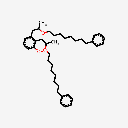 CC(Cc1cccc(O)c1CC(C)OCCCCCCCCc1ccccc1)OCCCCCCCCc1ccccc1